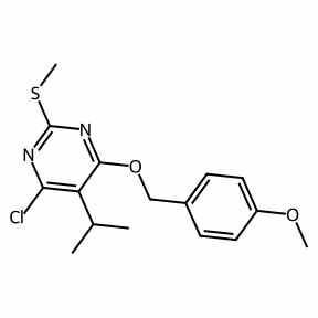 COc1ccc(COc2nc(SC)nc(Cl)c2C(C)C)cc1